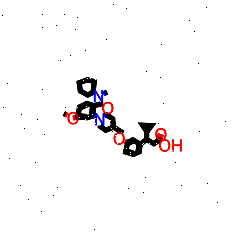 COc1ccc(C(=O)N(C)C2CCCCC2)c(N2CCC(COc3cccc(C(CC(=O)O)C4CC4)c3)CC2)c1